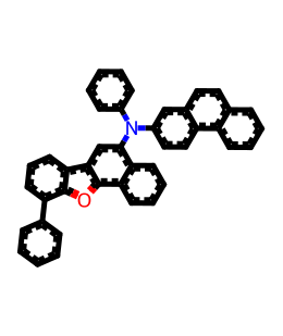 c1ccc(-c2cccc3c2oc2c4ccccc4c(N(c4ccccc4)c4ccc5c(ccc6ccccc65)c4)cc32)cc1